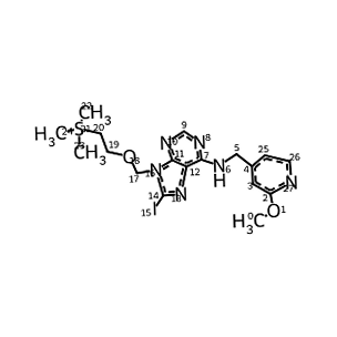 COc1cc(CNc2ncnc3c2nc(I)n3COCCS(C)(C)C)ccn1